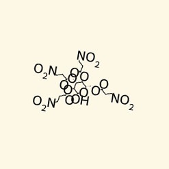 O=C(CC[N+](=O)[O-])OC[C@@H]1O[C@@H](O)[C@@H](OC(=O)CC[N+](=O)[O-])[C@H](OC(=O)CC[N+](=O)[O-])[C@@H]1OC(=O)CC[N+](=O)[O-]